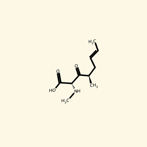 CC=CC[C@@H](C)C(=O)[C@H](NC)C(=O)O